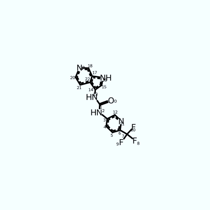 O=C(Nc1ccc(C(F)(F)F)nc1)Nc1c[nH]c2cnccc12